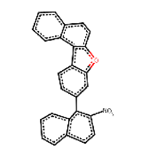 O=[N+]([O-])c1ccc2ccccc2c1-c1ccc2c(c1)oc1ccc3ccccc3c12